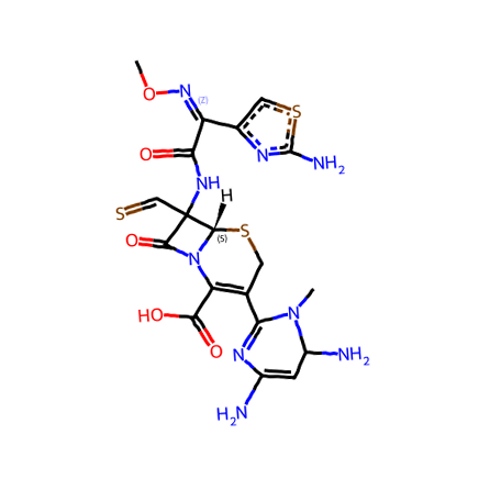 CO/N=C(\C(=O)NC1(C=S)C(=O)N2C(C(=O)O)=C(C3=NC(N)=CC(N)N3C)CS[C@H]21)c1csc(N)n1